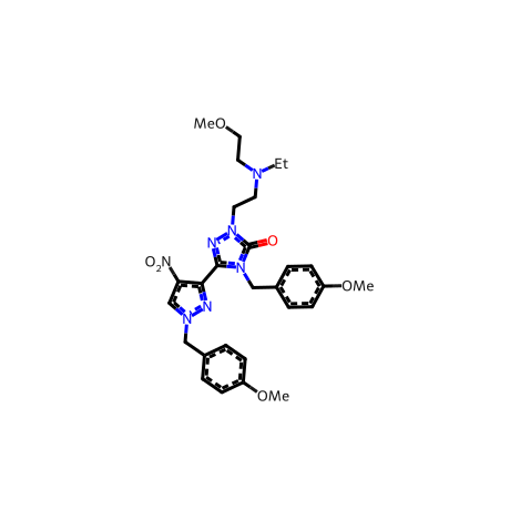 CCN(CCOC)CCn1nc(-c2nn(Cc3ccc(OC)cc3)cc2[N+](=O)[O-])n(Cc2ccc(OC)cc2)c1=O